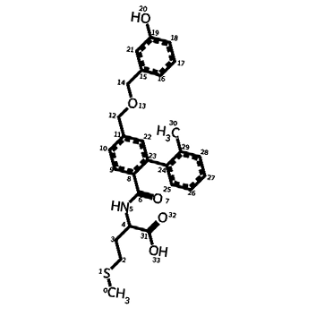 CSCCC(NC(=O)c1ccc(COCc2cccc(O)c2)cc1-c1ccccc1C)C(=O)O